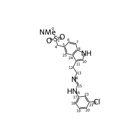 CNS(=O)(=O)Cc1ccc2[nH]cc(CCN=CNc3cccc(Cl)c3)c2c1